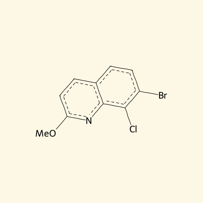 COc1ccc2ccc(Br)c(Cl)c2n1